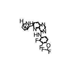 Fc1c(Nc2ncnc3ccc(N4C[C@@H]5CCC4CN5)nc23)ccc(OC(F)F)c1F